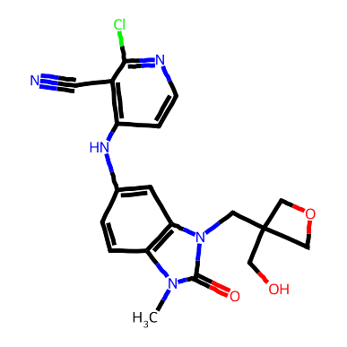 Cn1c(=O)n(CC2(CO)COC2)c2cc(Nc3ccnc(Cl)c3C#N)ccc21